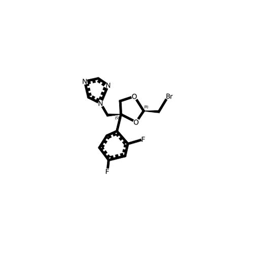 Fc1ccc([C@]2(Cn3cncn3)CO[C@@H](CBr)O2)c(F)c1